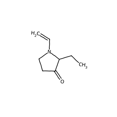 C=CN1CCC(=O)C1CC